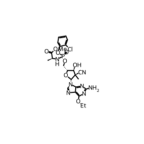 CCOc1nc(N)nc2c1ncn2[C@@H]1O[C@H](COP(=O)(N[C@@H](C)C(=O)OC)Oc2ccccc2Cl)[C@@H](O)[C@@]1(C)C#N